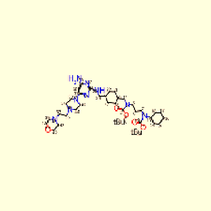 CC(C)(C)OC(=O)N(CCCN(C(=O)OC(C)(C)C)C1CCCCC1)CC1CCC(CNc2nc(N)cc(N3CCN(CCN4CCOCC4)CC3)n2)CC1